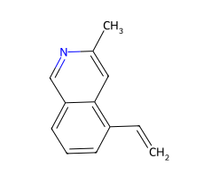 C=Cc1cccc2cnc(C)cc12